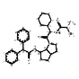 C[C@H](N)C(=O)N[C@H](C(=O)N1CCC2CCC(NC(=O)C(c3ccccc3)c3ccccc3)C21)C1CCCCC1